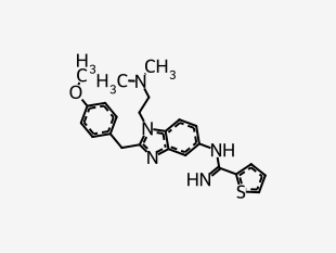 COc1ccc(Cc2nc3cc(NC(=N)c4cccs4)ccc3n2CCN(C)C)cc1